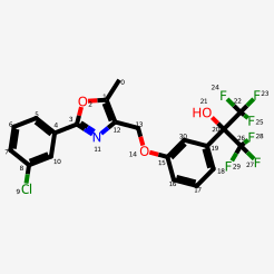 Cc1oc(-c2cccc(Cl)c2)nc1COc1cccc(C(O)(C(F)(F)F)C(F)(F)F)c1